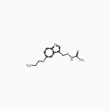 CCCOc1ccc2occ(CONC(C)=O)c2c1